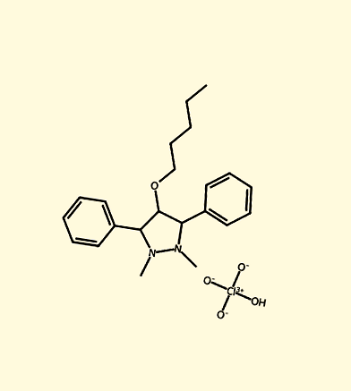 CCCCCOC1C(c2ccccc2)N(C)N(C)C1c1ccccc1.[O-][Cl+3]([O-])([O-])O